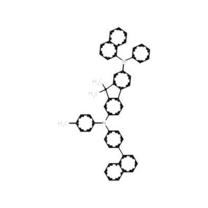 Cc1ccc(N(c2ccc(-c3cccc4ccccc34)cc2)c2ccc3c(c2)C(C)(C)c2cc(N(c4ccccc4)c4cccc5ccccc45)ccc2-3)cc1